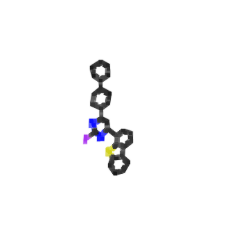 Ic1nc(-c2ccc(-c3ccccc3)cc2)cc(-c2cccc3c2sc2ccccc23)n1